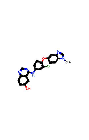 CN1C=NC2C=C(Oc3ccc(Nc4ncnc5ccc(O)cc45)cc3Cl)C=CC21